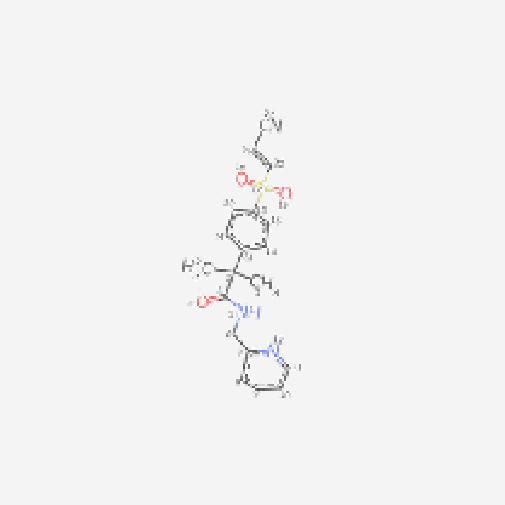 CC(C)(C(=O)NCc1ccccn1)c1ccc(S(=O)(=O)C=CC#N)cc1